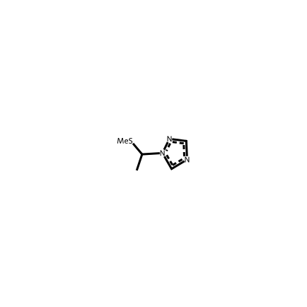 CSC(C)n1cncn1